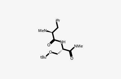 CNC(=O)[C@H](COC(C)(C)C)NC(=O)[C@H](CC(C)C)NC